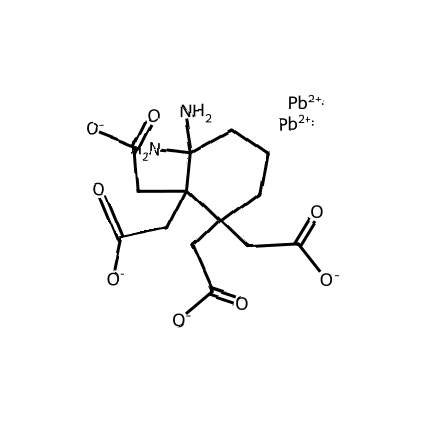 NC1(N)CCCC(CC(=O)[O-])(CC(=O)[O-])C1(CC(=O)[O-])CC(=O)[O-].[Pb+2].[Pb+2]